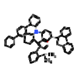 CC1(C)c2ccccc2-c2c(-c3ccccc3N(c3ccc(-c4cc5ccccc5c5ccccc45)cc3)c3ccccc3-c3ccc(-c4ccccc4)cc3)cccc21